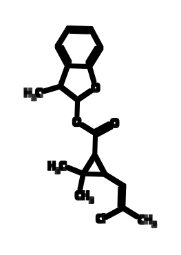 CC(Cl)=CC1C(C(=O)OC2Oc3ccccc3C2C)C1(C)C